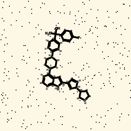 CC(O)(c1ccc(F)cc1)c1cnc(N2CCN(c3ncnc4[nH]c(-c5cnn(C6CCOC6)c5)cc34)CC2)nc1